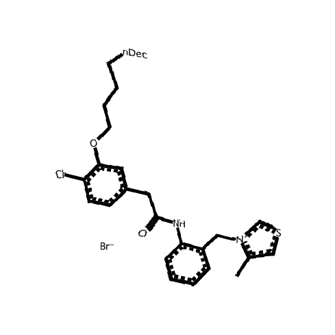 CCCCCCCCCCCCCCOc1cc(CC(=O)Nc2ccccc2C[n+]2cscc2C)ccc1Cl.[Br-]